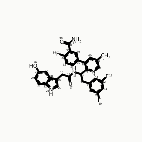 Cc1cnc(C(Cc2cc(F)cc(F)c2)NC(=O)Cc2c[nH]c3ccc(O)cc23)c(-c2ccc(F)c(C(N)=O)c2)c1